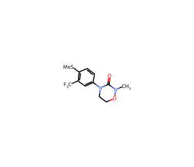 CSc1ccc(N2CCON(C)C2=O)cc1C(F)(F)F